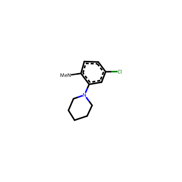 CNc1ccc(Cl)cc1N1CCCCC1